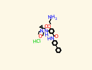 Cl.NCCCOc1ccc(C(=O)Nc2ccc(-c3ccccc3)cc2)cc1NC(=O)C1(N2CCOCC2)CC1